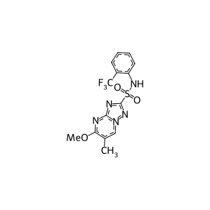 COc1nc2nc(S(=O)(=O)Nc3ccccc3C(F)(F)F)nn2cc1C